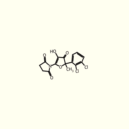 CC1(c2cccc(Cl)c2Cl)OC(N2C(=O)CCC2=O)=C(O)C1=O